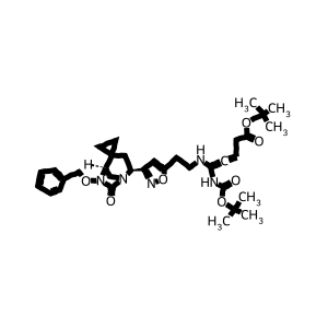 CC(C)(C)OC(=O)CC=C=C(NCCc1cc([C@@H]2CC3(CC3)[C@H]3CN2C(=O)N3OCc2ccccc2)no1)NC(=O)OC(C)(C)C